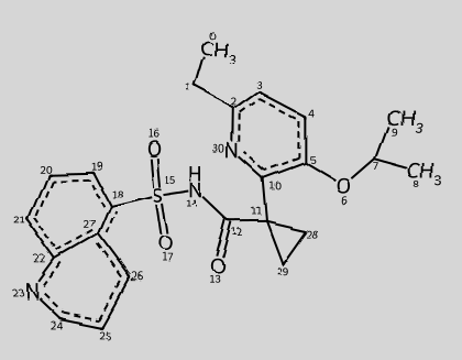 CCc1ccc(OC(C)C)c(C2(C(=O)NS(=O)(=O)c3cccc4ncccc34)CC2)n1